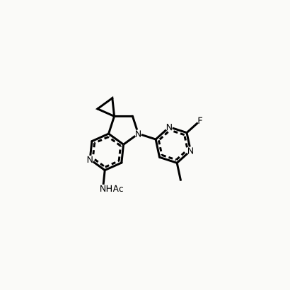 CC(=O)Nc1cc2c(cn1)C1(CC1)CN2c1cc(C)nc(F)n1